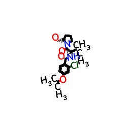 CC(C)Oc1ccc(C(=O)N[C@H](C(=O)N2CCC[C@H]2C=O)C(C)C)c(Cl)c1